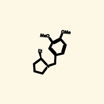 CC[C@@H]1CCCN1Cc1ccc(OC)c(OC)c1